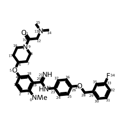 CNc1ccc(OC2CCN(C(=O)CN(C)C)CC2)cc1C(=N)Nc1ccc(OCc2cccc(F)c2)cc1